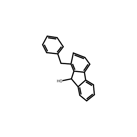 OC1c2ccccc2-c2cccc(Cc3ccccc3)c21